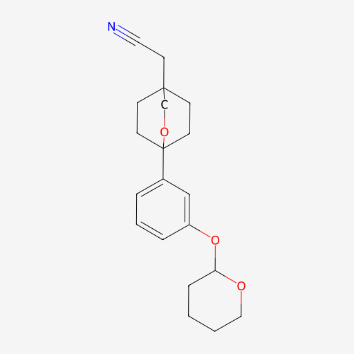 N#CCC12CCC(c3cccc(OC4CCCCO4)c3)(CC1)OC2